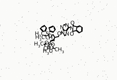 CC(C)OP(=O)(C=CC(COn1cnc2c(N3C(=O)c4ccccc4C3=O)ncnc21)CO[Si](c1ccccc1)(c1ccccc1)C(C)(C)C)OC(C)C